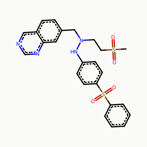 CS(=O)(=O)CCN(Cc1ccc2cncnc2c1)Nc1ccc(S(=O)(=O)c2ccccc2)cc1